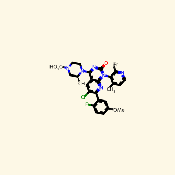 COc1ccc(F)c(-c2nc3c(cc2Cl)c(N2CCN(C(=O)O)C[C@@H]2C)nc(=O)n3-c2c(C)ccnc2C(C)C)c1